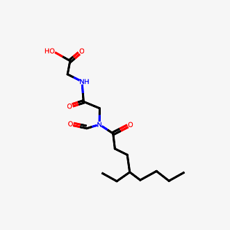 CCCCC(CC)CCC(=O)N(C=O)CC(=O)NCC(=O)O